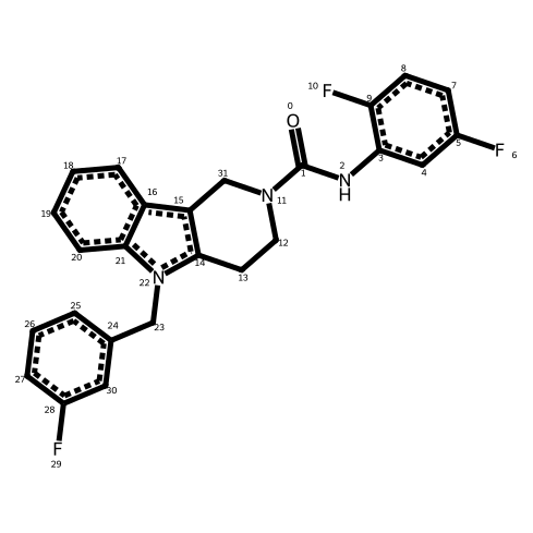 O=C(Nc1cc(F)ccc1F)N1CCc2c(c3ccccc3n2Cc2cccc(F)c2)C1